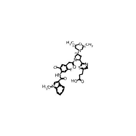 C[C@@H]1CN([C@H]2CC(c3ncc(CCC(=O)O)s3)N(C(=O)Cc3cc(Cl)c(NC(=O)c4cn(C)c5ccccc45)cc3F)C2)C[C@H](C)O1